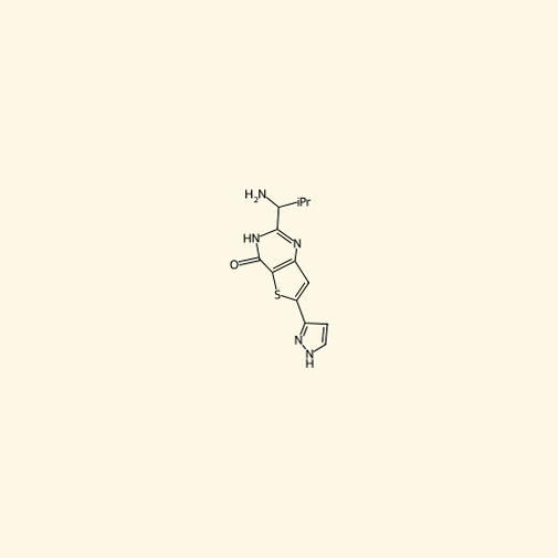 CC(C)C(N)c1nc2cc(-c3cc[nH]n3)sc2c(=O)[nH]1